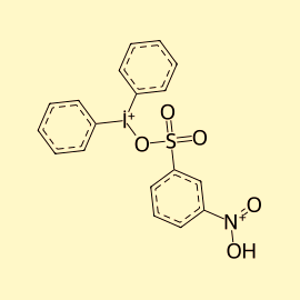 O=[N+](O)c1cccc(S(=O)(=O)O[I+](c2ccccc2)c2ccccc2)c1